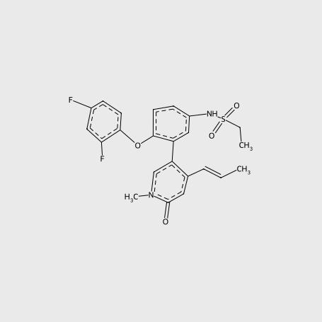 C/C=C/c1cc(=O)n(C)cc1-c1cc(NS(=O)(=O)CC)ccc1Oc1ccc(F)cc1F